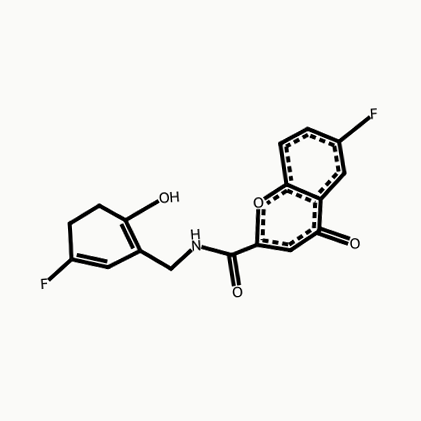 O=C(NCC1=C(O)CCC(F)=C1)c1cc(=O)c2cc(F)ccc2o1